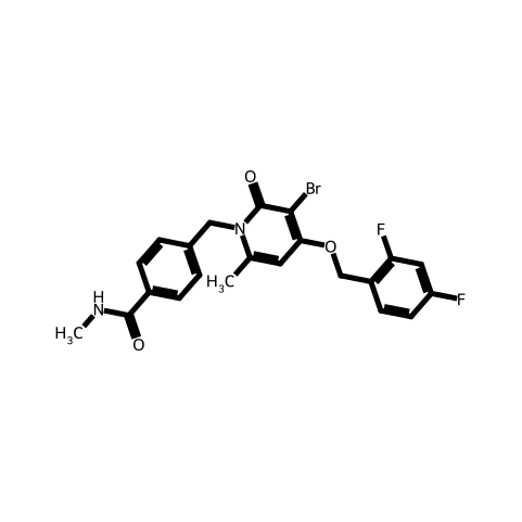 CNC(=O)c1ccc(Cn2c(C)cc(OCc3ccc(F)cc3F)c(Br)c2=O)cc1